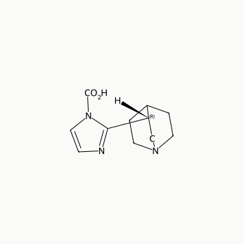 O=C(O)n1ccnc1[C@H]1CN2CCC1CC2